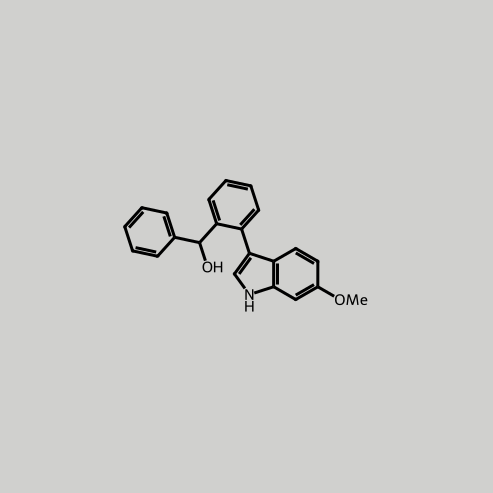 COc1ccc2c(-c3ccccc3C(O)c3ccccc3)c[nH]c2c1